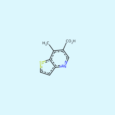 Cc1c(C(=O)O)cnc2ccsc12